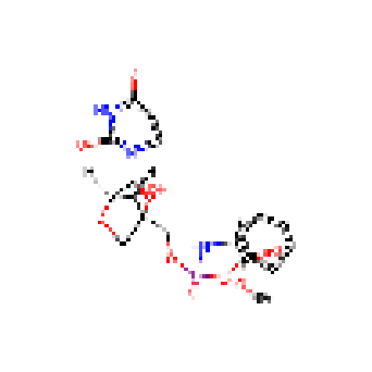 CC(C)OC(=O)C(C)NP(=O)(OC[C@@]12CO[C@@H]([C@H](n3ccc(=O)[nH]c3=O)O1)[C@@H]2O)Oc1ccccc1